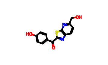 O=C(c1ccc(O)cc1)c1nc2ccc(CO)nc2s1